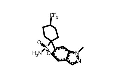 Cn1ncc2ccc(C3(S(N)(=O)=O)CCC(C(F)(F)F)CC3)cc21